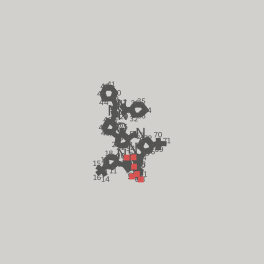 CC(C)(C)c1ccc2c(c1)c1cc(C(C)(C)C)ccc1n2-c1cc2c(oc3c(-c4nc(-c5ccccc5)nc(-c5ccccc5)n4)cccc32)c(C#N)c1-n1c2ccc(C(C)(C)C)cc2c2cc(C(C)(C)C)ccc21